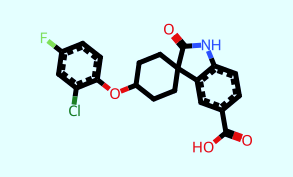 O=C(O)c1ccc2c(c1)C1(CCC(Oc3ccc(F)cc3Cl)CC1)C(=O)N2